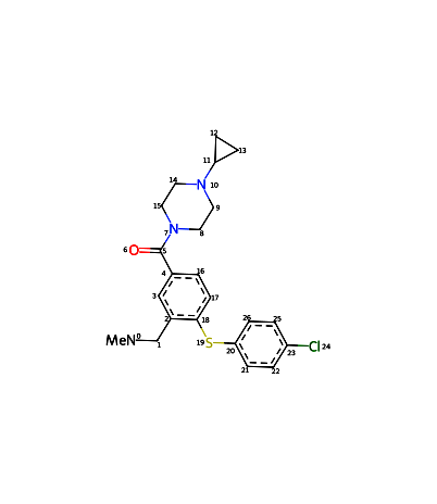 CNCc1cc(C(=O)N2CCN(C3CC3)CC2)ccc1Sc1ccc(Cl)cc1